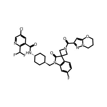 O=C(N[C@H]1CC[C@H](CN2C(=O)C3(CN(C(=O)c4cc5n(n4)CCCO5)C3)c3ccc(F)cc32)CC1)c1cc(Cl)cnc1C(F)F